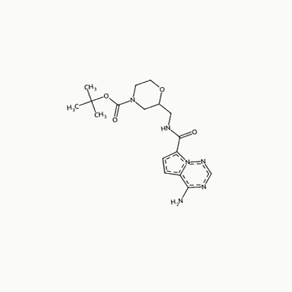 CC(C)(C)OC(=O)N1CCOC(CNC(=O)c2ccc3c(N)ncnn23)C1